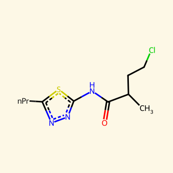 CCCc1nnc(NC(=O)C(C)CCCl)s1